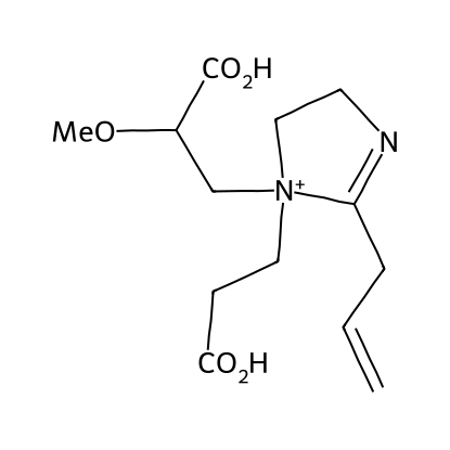 C=CCC1=NCC[N+]1(CCC(=O)O)CC(OC)C(=O)O